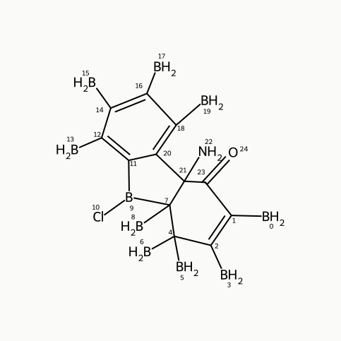 BC1=C(B)C(B)(B)C2(B)B(Cl)c3c(B)c(B)c(B)c(B)c3C2(N)C1=O